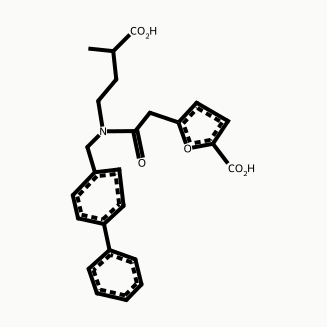 CC(CCN(Cc1ccc(-c2ccccc2)cc1)C(=O)Cc1ccc(C(=O)O)o1)C(=O)O